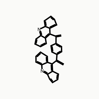 C=C(c1ccc(C(=C)c2c3ccccc3nc3ccccc23)cc1)c1c2ccccc2nc2ccccc12